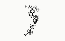 COc1cc2ncnc(Nc3ccc(Oc4nc(-c5nnc(C6CC6)o5)cs4)cc3F)c2cc1[N+](=O)[O-].Cl